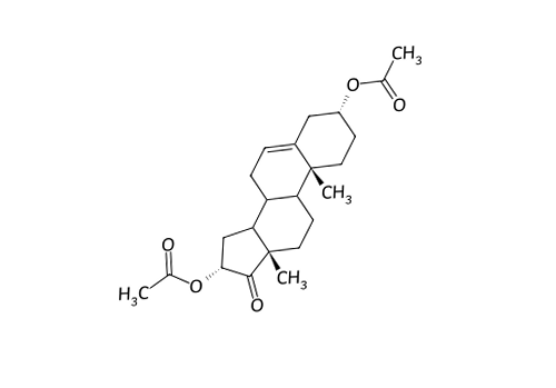 CC(=O)O[C@@H]1CC[C@@]2(C)C(=CCC3C2CC[C@]2(C)C(=O)[C@H](OC(C)=O)CC32)C1